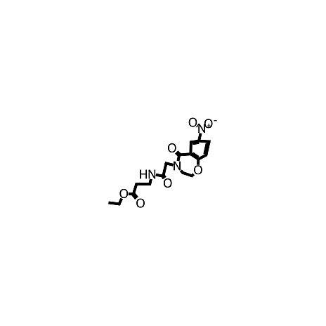 CCOC(=O)CCNC(=O)CN1CCOc2ccc([N+](=O)[O-])cc2C1=O